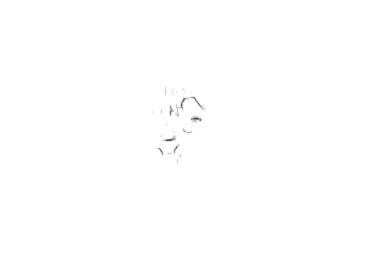 CC(=O)c1cccc(OCc2cccc(O)c2[N+](=O)[O-])c1